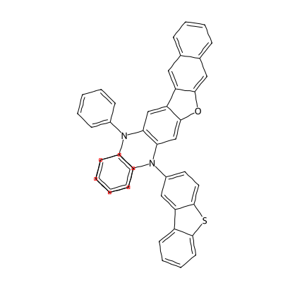 C1=CCC(N(c2ccccc2)c2cc3c(cc2N(c2ccccc2)c2ccc4sc5ccccc5c4c2)oc2cc4ccccc4cc23)C=C1